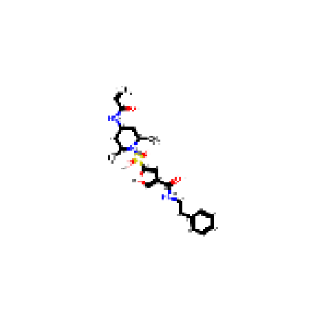 C=CC(=O)NC1CC(C)N(S(=O)(=O)c2cc(C(=O)NCCc3ccccc3)co2)C(C)C1